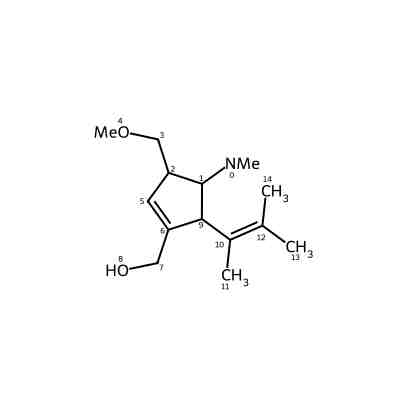 CNC1C(COC)C=C(CO)C1C(C)=C(C)C